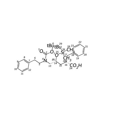 CC(C)(C)OC(=O)N(CCc1ccccc1)C[C@@H](C[C@H](Cc1ccccc1)C(=O)O)O[Si](C)(C)C(C)(C)C